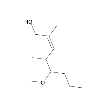 CCCC(OC)C(C)C=C(C)CO